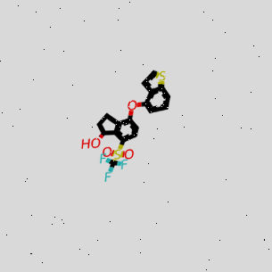 O=S(=O)(c1ccc(Oc2cccc3sccc23)c2c1C(O)CC2)C(F)(F)F